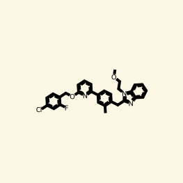 COCCn1c(Cc2ccc(-c3cccc(OCc4ccc(Cl)cc4F)n3)cc2C)nc2ccccc21